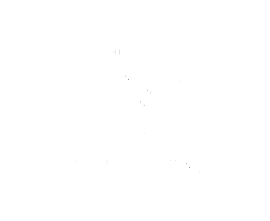 Cc1ccc(C#Cc2cccc(-c3nn(-c4nc(CO)cs4)c(CC4CC4)c3Cc3ccc(S(N)(=O)=O)c(F)c3)c2)s1